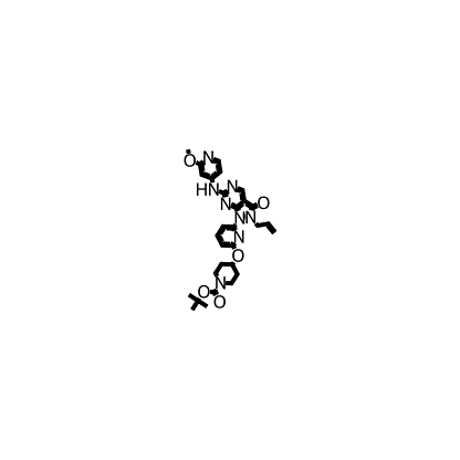 C=CCn1c(=O)c2cnc(Nc3ccnc(OC)c3)nc2n1-c1cccc(OC2CCN(C(=O)OC(C)(C)C)CC2)n1